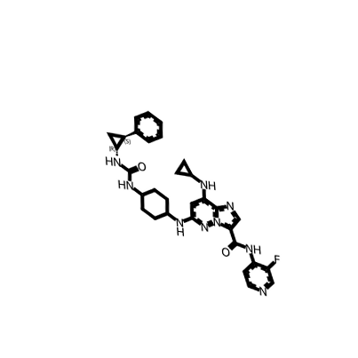 O=C(NC1CCC(Nc2cc(NC3CC3)c3ncc(C(=O)Nc4ccncc4F)n3n2)CC1)N[C@@H]1C[C@H]1c1ccccc1